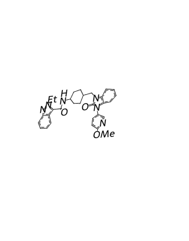 CCn1nc2ccccc2c1C(=O)NC1CCC(Cn2c(=O)n(-c3ccc(OC)nc3)c3ccccc32)CC1